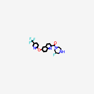 O=C(c1ccc2cc(Oc3ccc(C(F)(F)F)cn3)ccc2n1)N1CCNCC(F)C1